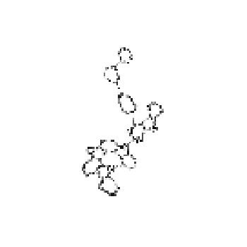 c1ccc(-c2cccc(-c3ccc(-c4nc(-n5c6ccc7oc8ccc9c%10ccccc%10n%10c%11cccc5c%11c6c7c8c9%10)nc5sc6ccccc6c45)cc3)c2)cc1